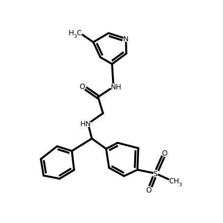 Cc1cncc(NC(=O)CNC(c2ccccc2)c2ccc(S(C)(=O)=O)cc2)c1